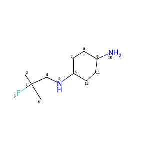 CC(C)(F)CNC1CCC(N)CC1